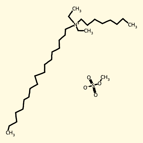 CCCCCCCCCCCCCCCCCC[N+](CC)(CC)CCCCCCCC.COS(=O)(=O)[O-]